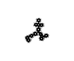 c1ccc(-c2c3ccccc3c(-c3ccc(N(c4ccc(-c5ccc(-c6cccc7ccccc67)cc5)cc4)c4ccc5c(c4)c4ccccc4n5-c4ccccc4)cc3)c3ccccc23)cc1